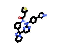 O=C(Cc1ccsc1)Nc1cccc(-c2nc3ccccn3c2-c2ccnc(Nc3ccc(C4CCNC4)cc3)n2)c1